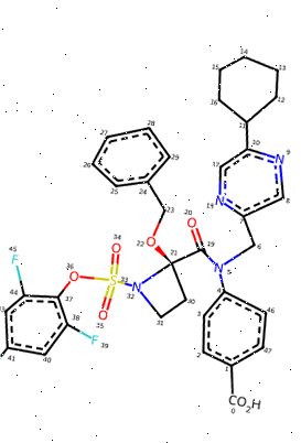 O=C(O)c1ccc(N(Cc2cnc(C3CCCCC3)cn2)C(=O)[C@]2(OCc3ccccc3)CCN2S(=O)(=O)Oc2c(F)cc(F)cc2F)cc1